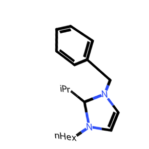 CCCCCCN1C=CN(Cc2ccccc2)C1C(C)C